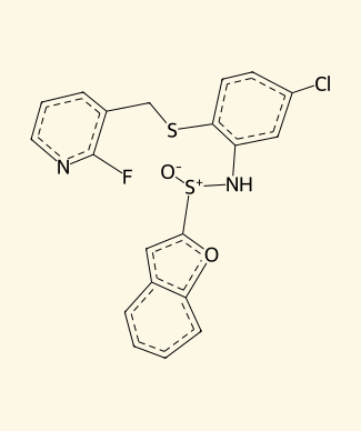 [O-][S+](Nc1cc(Cl)ccc1SCc1cccnc1F)c1cc2ccccc2o1